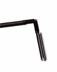 [Cu].[Cu].[Cu].[Cu].[Cu].[Cu].[Cu].[Cu].[Cu].[Cu].[Cu].[Cu].[Cu].[Cu].[Cu].[Cu].[Cu].[Cu].[Cu].[Cu].[Cu].[Cu].[Cu].[Cu].[Cu].[Cu].[Cu].[Cu].[Cu].[Cu].[Cu].[Cu].[Cu].[Cu].[Cu].[Cu].[Cu].[Cu].[Cu].[Cu].[Cu].[Cu].[Cu].[Cu].[Cu].[Cu].[Cu].[Cu].[Cu].[Cu].[Cu].[Cu].[Cu].[Cu].[Cu].[Cu].[Cu].[Cu].[Cu].[Cu].[Cu].[Cu].[Cu].[Cu].[Cu].[Cu].[Cu].[Cu].[Cu].[Cu].[Ni].[Ni].[Ni].[Ni].[Ni].[Ni].[Ni].[Ni].[Ni].[Ni].[Ni].[Ni].[Ni].[Ni].[Ni].[Ni].[Ni].[Ni].[Ni].[Ni].[Ni].[Ni].[Ni].[Ni].[Ni].[Ni].[Ni].[Ni].[Ni].[Ni]